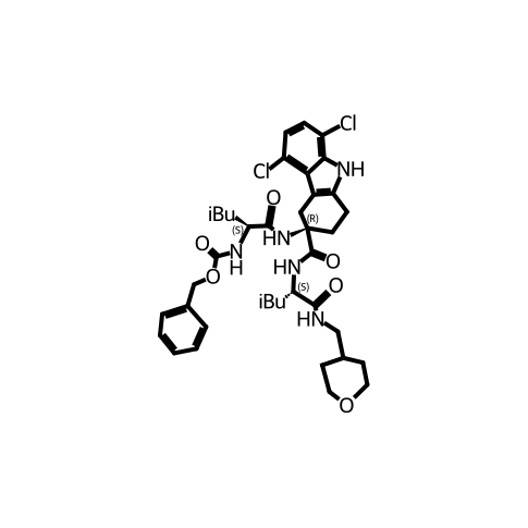 CCC(C)[C@H](NC(=O)OCc1ccccc1)C(=O)N[C@]1(C(=O)N[C@H](C(=O)NCC2CCOCC2)C(C)CC)CCc2[nH]c3c(Cl)ccc(Cl)c3c2C1